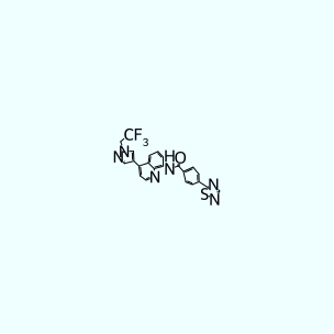 O=C(Nc1cccc2c(-c3cnn(CC(F)(F)F)c3)ccnc12)c1ccc(-c2ncns2)cc1